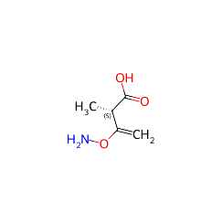 C=C(ON)[C@H](C)C(=O)O